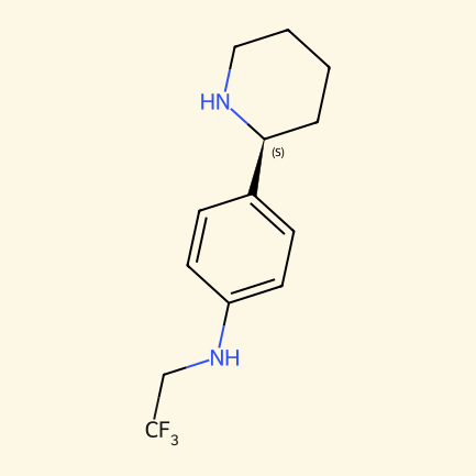 FC(F)(F)CNc1ccc([C@@H]2CCCCN2)cc1